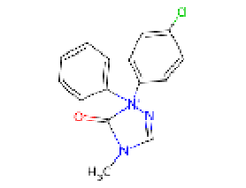 CN1C=N[N+](c2ccccc2)(c2ccc(Cl)cc2)C1=O